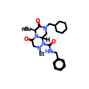 CCCC[C@H]1C(=O)N(CC2CCCCC2)C[C@H]2N1C(=O)CN(CC)N2C(=O)NCc1ccccc1